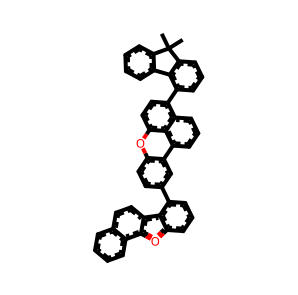 CC1(C)c2ccccc2-c2c(-c3ccc4c5c(cccc35)-c3cc(-c5cccc6oc7c8ccccc8ccc7c56)ccc3O4)cccc21